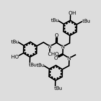 CN(Cc1cc(C(C)(C)C)cc(C(C)(C)C)c1)C(=O)N(Cc1cc(C(C)(C)C)c(O)c(C(C)(C)C)c1)C(=O)N(C=O)Cc1cc(C(C)(C)C)c(O)c(C(C)(C)C)c1